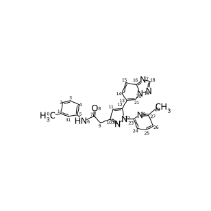 Cc1cccc(NC(=O)Cc2cc(-c3ccc4ncnn4c3)n(-c3cccc(C)n3)n2)c1